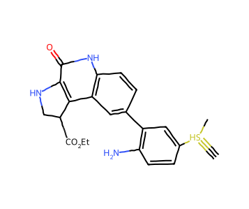 C#[SH](C)c1ccc(N)c(-c2ccc3[nH]c(=O)c4c(c3c2)C(C(=O)OCC)CN4)c1